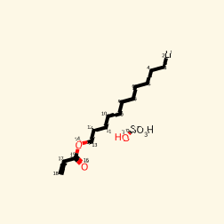 O=S(=O)(O)O.[Li][CH2]CCCCCCCCCCOC(=O)C=C